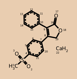 CS(=O)(=O)c1ccc(C2=C(c3ccccc3)C(=O)OC2)cc1.[CaH2]